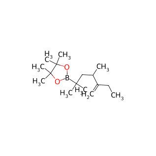 C=C(CC)C(C)CC(C)(C)B1OC(C)(C)C(C)(C)O1